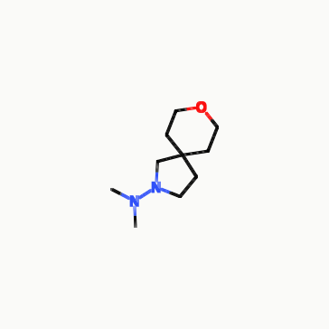 CN(C)N1CCC2(CCOCC2)C1